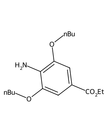 CCCCOc1cc(C(=O)OCC)cc(OCCCC)c1N